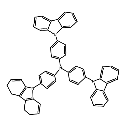 C1=Cc2c(c3c(n2-c2ccc(N(c4ccc(-n5c6ccccc6c6ccccc65)cc4)c4ccc(-n5c6ccccc6c6ccccc65)cc4)cc2)C=CCC3)CC1